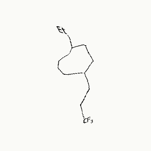 CCC1CCC(CCC(F)(F)F)CC1